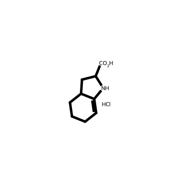 Cl.O=C(O)C1CC2CCCC=C2N1